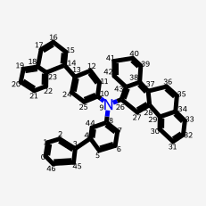 c1ccc(-c2cccc(N(c3ccc(-c4cccc5ccccc45)cc3)c3cc4c5ccccc5ccc4c4ccccc34)c2)cc1